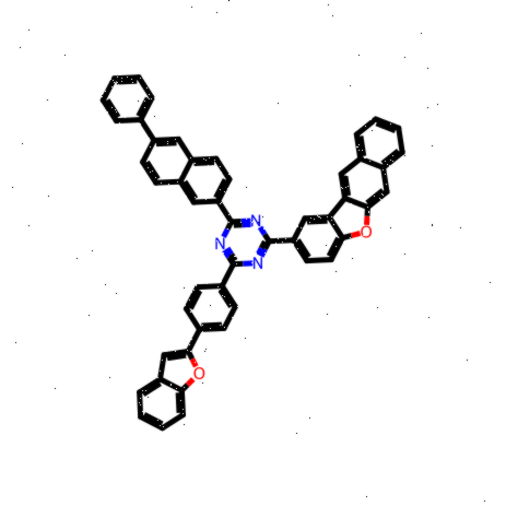 c1ccc(-c2ccc3cc(-c4nc(-c5ccc(-c6cc7ccccc7o6)cc5)nc(-c5ccc6oc7cc8ccccc8cc7c6c5)n4)ccc3c2)cc1